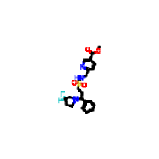 COC(=O)c1ccc(CNS(=O)(=O)CCC(c2ccccc2)N2CCC(F)(F)C2)nc1